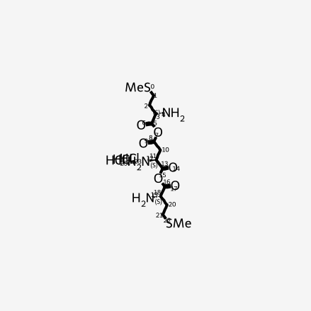 CSCC[C@H](N)C(=O)OC(=O)C[C@H](N)C(=O)OC(=O)[C@@H](N)CCSC.Cl.Cl.Cl